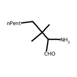 CCCCCCC(C)(C)C(N)C=O